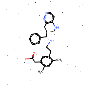 Cc1cc(C)c(CC(=O)O)cc1CCN[C@H](c1ccccc1)[C@H]1CNc2ccnnc2C1